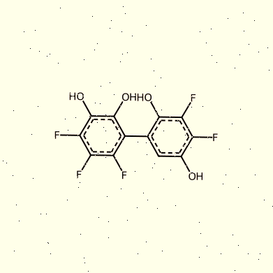 Oc1cc(-c2c(O)c(O)c(F)c(F)c2F)c(O)c(F)c1F